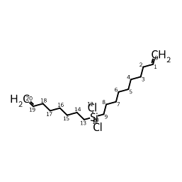 C=CCCCCCCCC[Si](Cl)(Cl)CCCCCCC=C